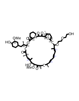 CO[C@@H]1CC(C[C@@H](C)[C@@H]2CC(=O)[C@H](C)/C=C(\C)[C@@H](O)[C@@H](OC)C(=O)[C@H](C)C[C@H](C)/C=C/C=C/C=C(\C)C(OCCOCCO)C[C@@H]3CC[C@@H](C)[C@@](O)(O3)C(=O)C(=O)N3CCCC[C@H]3C(=O)O2)CC[C@H]1O